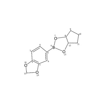 c1cc2c(cc1B1OC3CCCC3O1)OCO2